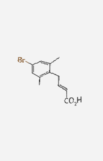 Cc1cc(Br)cc(C)c1CC=CC(=O)O